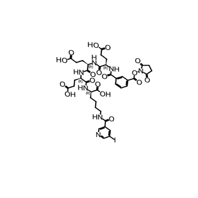 O=C(O)CC[C@@H](NC(=O)c1cccc(C(=O)ON2C(=O)CCC2=O)c1)C(=O)N[C@H](CCC(=O)O)C(=O)N[C@H](CCC(=O)O)C(=O)N[C@H](CCCCNC(=O)c1cncc(I)c1)C(=O)O